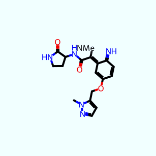 CN/C(C(=O)NC1CCNC1=O)=C1/C=C(OCc2ccnn2C)C=CC1=N